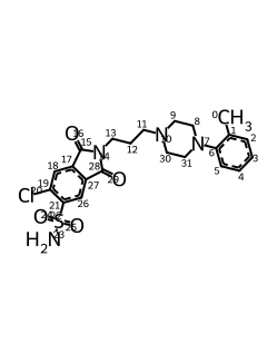 Cc1ccccc1N1CCN(CCCN2C(=O)c3cc(Cl)c(S(N)(=O)=O)cc3C2=O)CC1